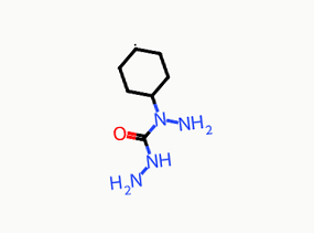 NNC(=O)N(N)C1CC[CH]CC1